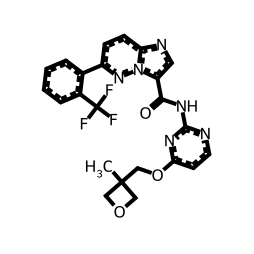 CC1(COc2ccnc(NC(=O)c3cnc4ccc(-c5ccccc5C(F)(F)F)nn34)n2)COC1